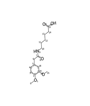 COc1ccc(CC(=O)NCCCCCC(=O)O)cc1OC